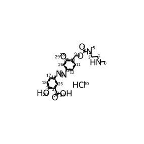 CNCCN(C)C(=O)OCc1ccc(N=Nc2ccc(O)c(C(=O)O)c2)cc1OC.Cl